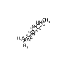 CC(=O)Nc1ccc2c(c1)OCc1cc(-c3cnn(C(C)C)c3)nn1C2